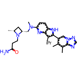 Cc1c(-c2[nH]c3ccc(N(C)C[C@H]4C[C@@H](C)N4CCC(N)=O)nc3c2C(C)C)cn2ncnc2c1C